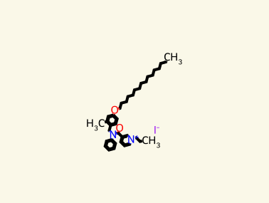 CCCCCCCCCCCCCCCCOc1ccc(CN(C(=O)c2ccc[n+](CCC)c2)c2ccccc2)c(C)c1.[I-]